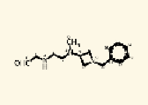 CN(CCNCC=O)C1CN(Cc2ccccc2)C1